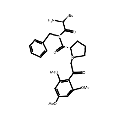 CC[C@H](C)[C@H](N)C(=O)N(Cc1ccccc1)C(=O)[C@@H]1CCCN1CC(=O)c1c(OC)cc(OC)cc1OC